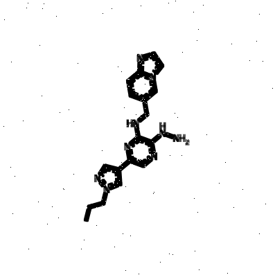 CCCn1cc(-c2cnc(NN)c(NCc3ccc4nccn4c3)n2)cn1